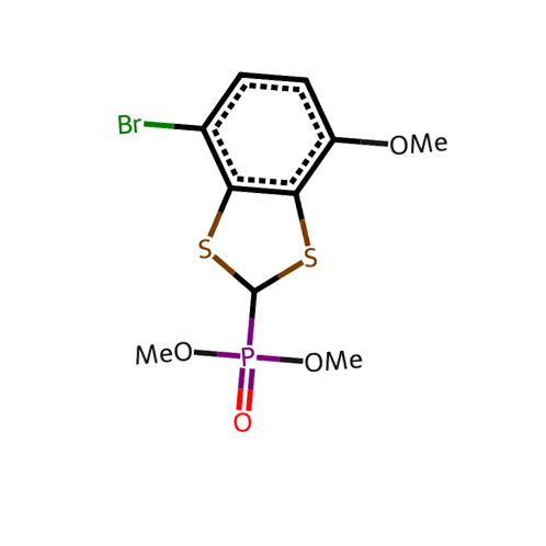 COc1ccc(Br)c2c1SC(P(=O)(OC)OC)S2